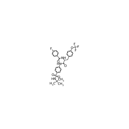 CC(C)(C)NS(=O)(=O)c1ccc(NC(=O)C(Cc2ccc(OC(F)(F)F)cc2)NC(=O)c2ccc(F)cc2)cc1